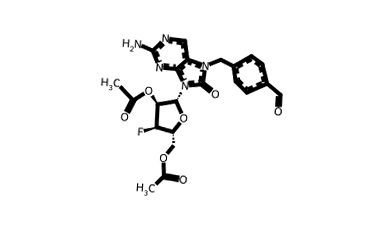 CC(=O)OC[C@H]1O[C@@H](n2c(=O)n(Cc3ccc(C=O)cc3)c3cnc(N)nc32)[C@H](OC(C)=O)[C@@H]1F